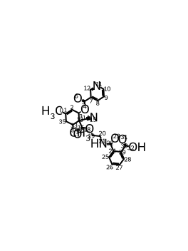 CC1=C[C@@H](OC(=O)c2cccnc2)C(C#N)(C(=O)OCCNC(=O)c2ccccc2C(=O)O)C(C)C1